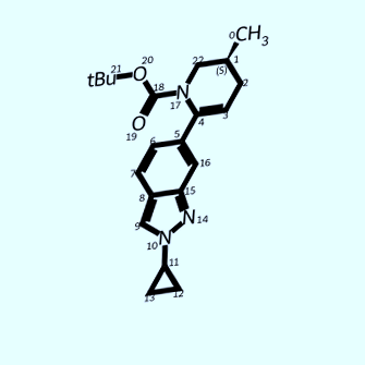 C[C@H]1CC=C(c2ccc3cn(C4CC4)nc3c2)N(C(=O)OC(C)(C)C)C1